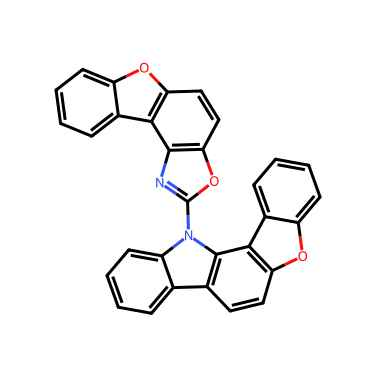 c1ccc2c(c1)oc1ccc3oc(-n4c5ccccc5c5ccc6oc7ccccc7c6c54)nc3c12